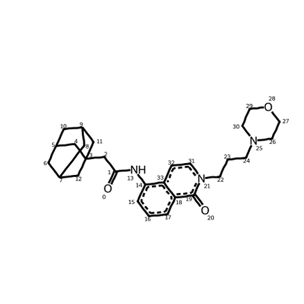 O=C(CC12CC3CC(CC(C3)C1)C2)Nc1cccc2c(=O)n(CCCN3CCOCC3)ccc12